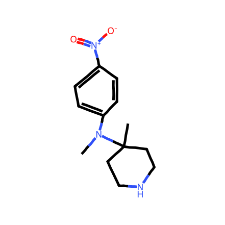 CN(c1ccc([N+](=O)[O-])cc1)C1(C)CCNCC1